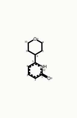 O=c1cc[c]c(C2CCOCC2)[nH]1